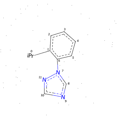 CC(C)c1ccccc1-n1cncn1